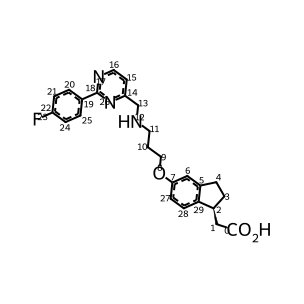 O=C(O)C[C@@H]1CCc2cc(OCCCNCc3ccnc(-c4ccc(F)cc4)n3)ccc21